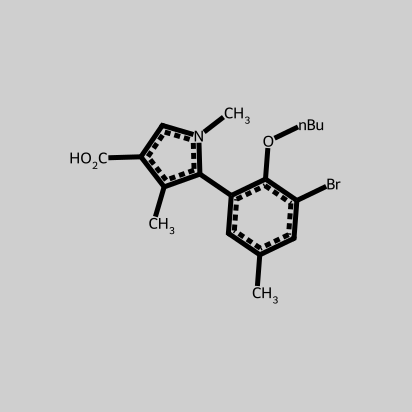 CCCCOc1c(Br)cc(C)cc1-c1c(C)c(C(=O)O)cn1C